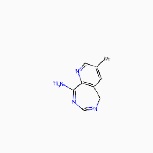 CC(C)c1cnc2c(c1)CN=CN=C2N